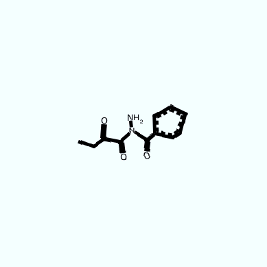 CCC(=O)C(=O)N(N)C(=O)c1ccccc1